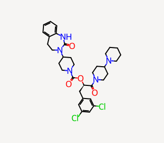 O=C(O[C@H](Cc1cc(Cl)cc(Cl)c1)C(=O)N1CCC(N2CCCCC2)CC1)N1CCC(N2CCc3ccccc3NC2=O)CC1